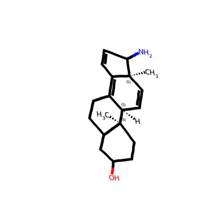 C[C@]12C=C[C@@H]3C(=C1C=CC2N)CCC1CC(O)CC[C@@]13C